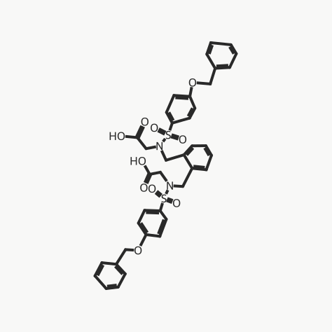 O=C(O)CN(Cc1ccccc1CN(CC(=O)O)S(=O)(=O)c1ccc(OCc2ccccc2)cc1)S(=O)(=O)c1ccc(OCc2ccccc2)cc1